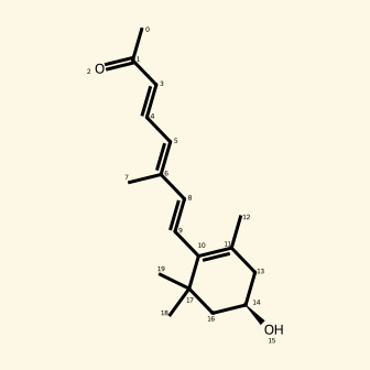 CC(=O)/C=C/C=C(C)/C=C/C1=C(C)C[C@@H](O)CC1(C)C